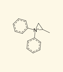 CC1C[N+]1(c1ccccc1)c1ccccc1